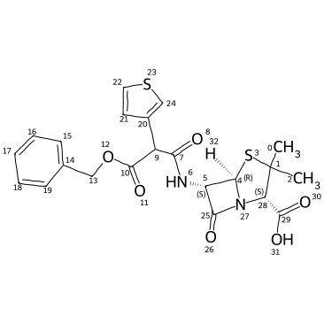 CC1(C)S[C@@H]2[C@@H](NC(=O)C(C(=O)OCc3ccccc3)c3ccsc3)C(=O)N2[C@H]1C(=O)O